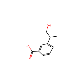 [CH2]C(CO)c1cccc(C(=O)O)c1